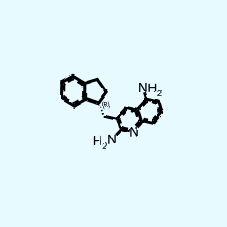 Nc1nc2cccc(N)c2cc1C[C@H]1CCc2ccccc21